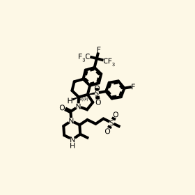 CC1NCCN(C(=O)N2CC[C@@]3(S(=O)(=O)c4ccc(F)cc4)c4ccc(C(F)(C(F)(F)F)C(F)(F)F)cc4CC[C@@H]23)C1CCCS(C)(=O)=O